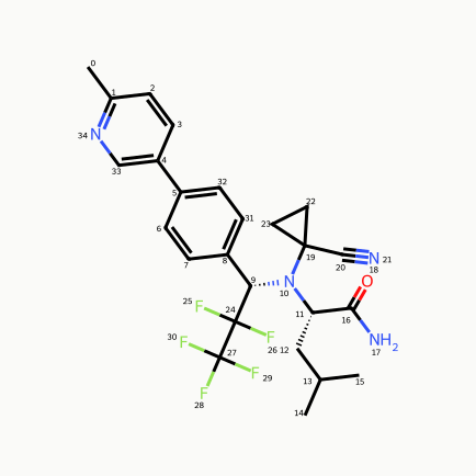 Cc1ccc(-c2ccc([C@H](N([C@@H](CC(C)C)C(N)=O)C3(C#N)CC3)C(F)(F)C(F)(F)F)cc2)cn1